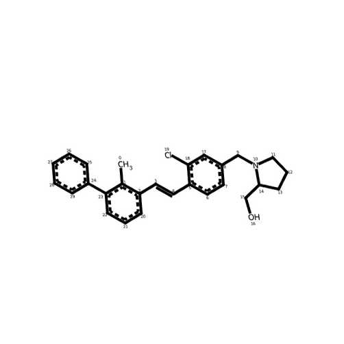 Cc1c(C=Cc2ccc(CN3CCCC3CO)cc2Cl)cccc1-c1ccccc1